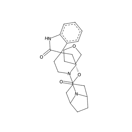 O=C(O[C@@H]1CCOC1)N1C2CCC1CC(N1CCC3(CC1)C(=O)Nc1ccccc13)C2